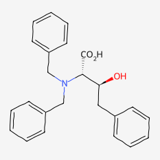 O=C(O)[C@H]([C@@H](O)Cc1ccccc1)N(Cc1ccccc1)Cc1ccccc1